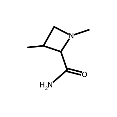 CC1CN(C)C1C(N)=O